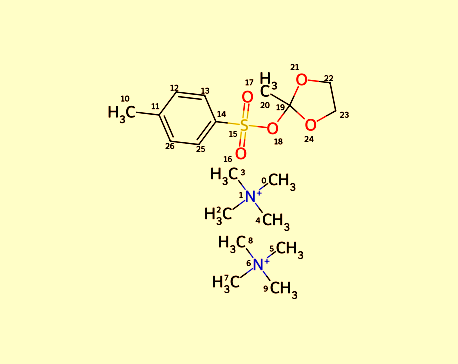 C[N+](C)(C)C.C[N+](C)(C)C.Cc1ccc(S(=O)(=O)OC2(C)OCCO2)cc1